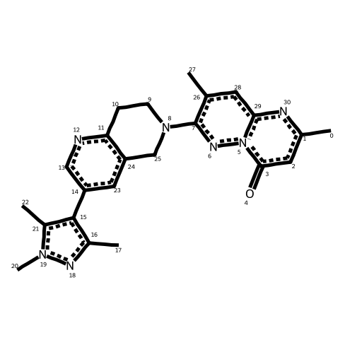 Cc1cc(=O)n2nc(N3CCc4ncc(-c5c(C)nn(C)c5C)cc4C3)c(C)cc2n1